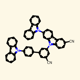 N#Cc1cc(-c2ccc(-n3c4ccccc4c4ccccc43)cc2)cc(-n2c3ccc(C#N)cc3c3ccc(-n4c5ccccc5c5ccccc54)cc32)c1